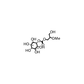 COC(CO)COC(=O)O[C@H]1[C@@H](O)[C@@H](O)[C@@H](O)[C@H](O)[C@@H]1O